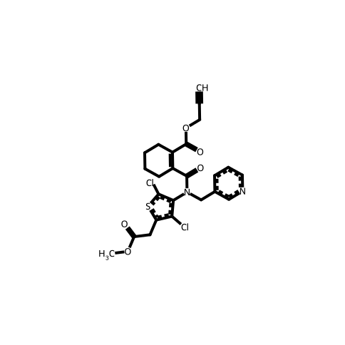 C#CCOC(=O)C1=C(C(=O)N(Cc2cccnc2)c2c(Cl)sc(CC(=O)OC)c2Cl)CCCC1